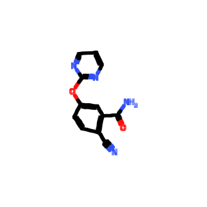 N#Cc1ccc(Oc2ncccn2)cc1C(N)=O